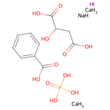 I.O=C(O)CC(O)C(=O)O.O=C(O)c1ccccc1.O=P(O)(O)O.[CaH2].[CaH2].[NaH]